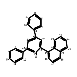 c1ccc(-c2cc(-c3ccccc3)nc(-c3cccc4ccccc34)c2)cc1